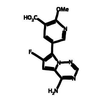 COc1ncc(-c2c(F)cc3c(N)ncnn23)cc1C(=O)O